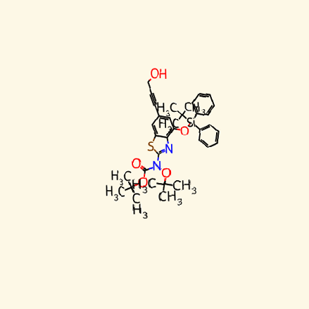 CC(C)(C)OC(=O)N(OC(C)(C)C)c1nc2c(O[Si](c3ccccc3)(c3ccccc3)C(C)(C)C)cc(C#CCO)cc2s1